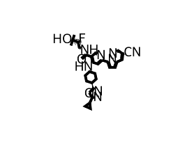 CC(C)(O)[C@H](F)CNC(=O)c1cnc(-c2ccc3cc(C#N)cnn23)cc1N[C@H]1CC[C@H](c2nnc(C3CC3)o2)CC1